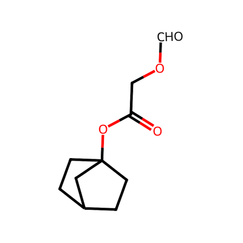 O=COCC(=O)OC12CCC(CC1)C2